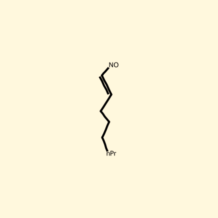 CCCCCCC=CN=O